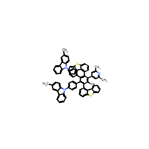 Cc1ccc2c(c1)c1ccccc1n2-c1ccc(-c2c(-c3cccc4sc5ccccc5c34)c(C#N)c(-c3cc(C)nc(C)c3)c(-c3cccc4sc5ccccc5c34)c2-c2ccc(-n3c4ccccc4c4cc(C)ccc43)cc2)cc1